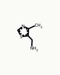 Cc1ncsc1CN